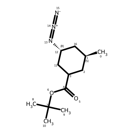 C[C@H]1CC(C(=O)OC(C)(C)C)C[C@H](N=[N+]=[N-])C1